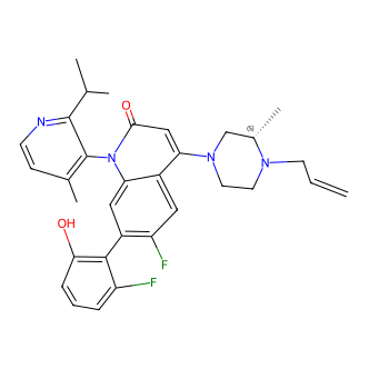 C=CCN1CCN(c2cc(=O)n(-c3c(C)ccnc3C(C)C)c3cc(-c4c(O)cccc4F)c(F)cc23)C[C@@H]1C